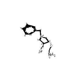 NC[C@H]1CN(Cc2ccccc2)C[C@@H]1F